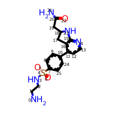 NCCNS(=O)(=O)c1ccc(-c2ccnc3c2CC(CC(N)=O)N3)cc1